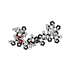 O=C(O)CNC(=O)[C@@H]1CCCN1C(=O)[C@@H]1CCCN1C(=O)CNC(=O)[C@@H]1CCCN1C(=O)[C@@H]1CCCN1C(=O)CNC(=O)[C@@H]1CCCN1C(=O)[C@@H]1CCCN1C(=O)CNC(=O)[C@@H]1CCCN1C(=O)[C@@H]1CCCN1C(=O)CNC(=O)[C@@H]1CCCN1C(=O)[C@@H]1CCCN1C(=O)CNC(=O)[C@H](CS)NC(=O)[C@@H]1CCCN1C(=O)CNC(=O)[C@@H]1CCCN1C(=O)[C@@H]1CCCN1